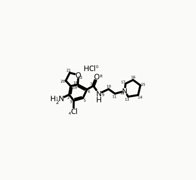 Cl.Nc1c(Cl)cc(C(=O)NCCN2CCCCC2)c2c1CCO2